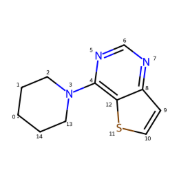 [CH]1CCN(c2ncnc3ccsc23)CC1